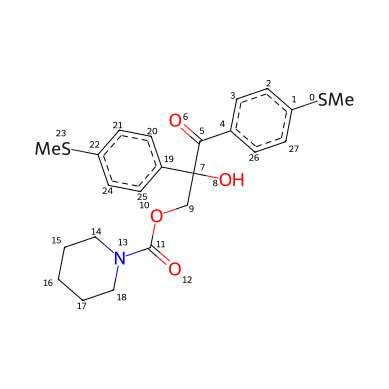 CSc1ccc(C(=O)C(O)(COC(=O)N2CCCCC2)c2ccc(SC)cc2)cc1